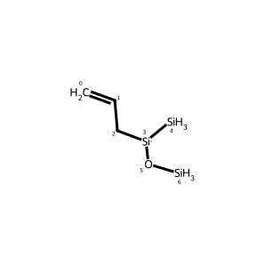 C=CC[Si]([SiH3])O[SiH3]